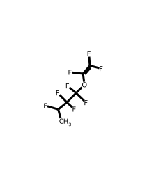 CC(F)C(F)(F)C(F)(F)OC(F)=C(F)F